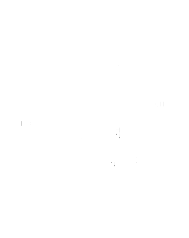 Cc1cc(C)cc(CC(NC2=NCCS2)c2cccc3cc(C)ccc23)c1